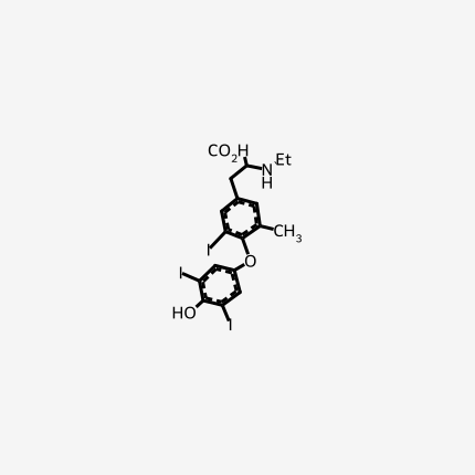 CCNC(Cc1cc(C)c(Oc2cc(I)c(O)c(I)c2)c(I)c1)C(=O)O